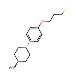 CCC[C@H]1CC[C@H](c2ccc(OCCCF)cc2)CC1